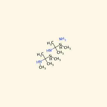 CNC(C)(C)[SiH](C)NC(C)(C)[SiH](C)N